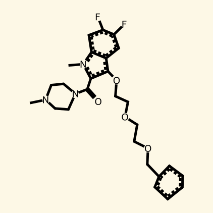 CN1CCN(C(=O)c2c(OCCOCCOCc3ccccc3)c3cc(F)c(F)cc3n2C)CC1